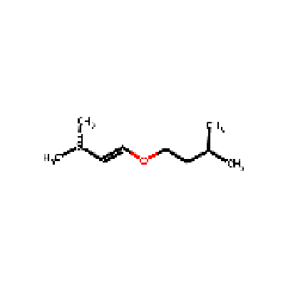 CC(C)CCOC=C[SiH](C)C